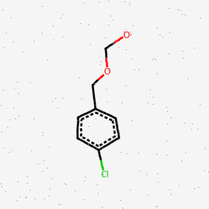 [O]COCc1ccc(Cl)cc1